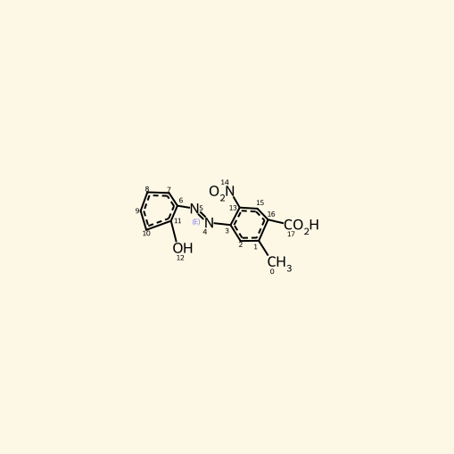 Cc1cc(/N=N/c2ccccc2O)c([N+](=O)[O-])cc1C(=O)O